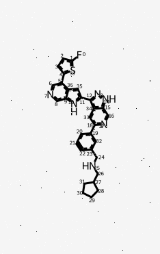 Fc1ccc(-c2cncc3[nH]c(-c4n[nH]c5cnc(-c6cc#cc(CNCC7CCCC7)c6)cc45)cc23)s1